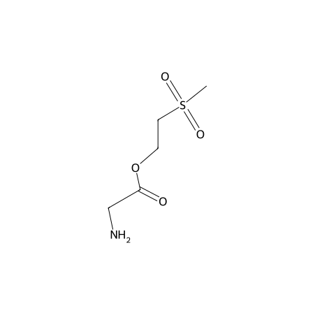 CS(=O)(=O)CCOC(=O)CN